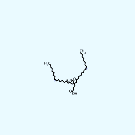 CCCCCCCC/C=C\CCCCCCCCC(CCCCCCCC/C=C\CCCCCCCC)(CCCC(=O)O)C(N)=O